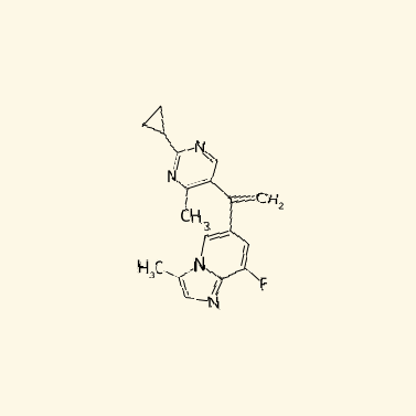 C=C(c1cc(F)c2ncc(C)n2c1)c1cnc(C2CC2)nc1C